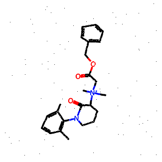 Cc1cccc(C)c1N1CCCC([N+](C)(C)CC(=O)OCc2ccccc2)C1=O